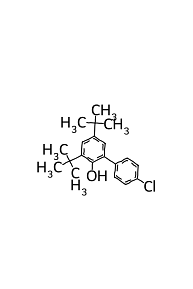 CC(C)(C)c1cc(-c2ccc(Cl)cc2)c(O)c(C(C)(C)C)c1